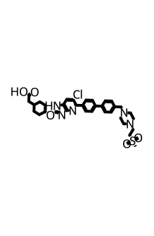 CS(=O)(=O)CCN1CCN(Cc2ccc(-c3ccc(-c4nc5nc(OC6CCC(CC(=O)O)CC6)[nH]c5cc4Cl)cc3)cc2)CC1